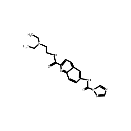 CCN(CC)CCNC(=O)c1ccc2cc(NC(=O)n3cncn3)ccc2n1